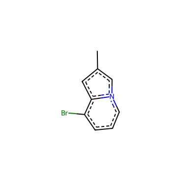 Cc1cc2c(Br)cccn2c1